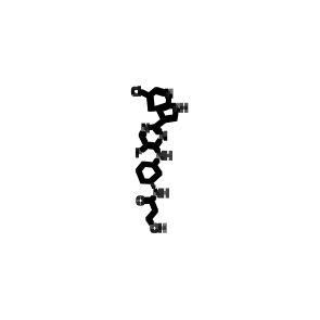 O=C(CCO)N[C@@H]1CCCC(Nc2nc(-c3c[nH]c4ncc(Cl)cc34)ncc2F)C1